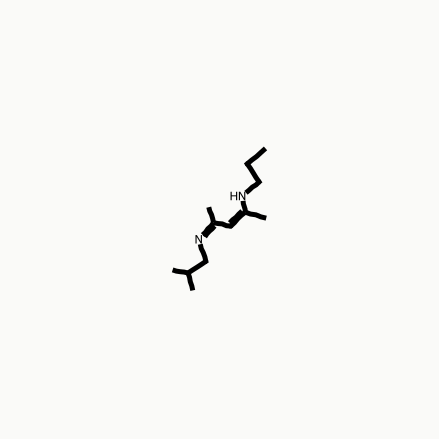 CCCN/C(C)=C\C(C)=N/CC(C)C